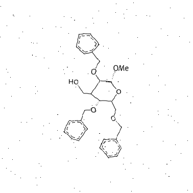 CO[C@@H]1OC(COCc2ccccc2)[C@H](OCc2ccccc2)C(CO)C1OCc1ccccc1